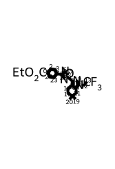 CCOC(=O)c1ccc(-c2noc(-c3nn(CC(F)(F)F)c4c3CCC(C)(C)C4)n2)cc1